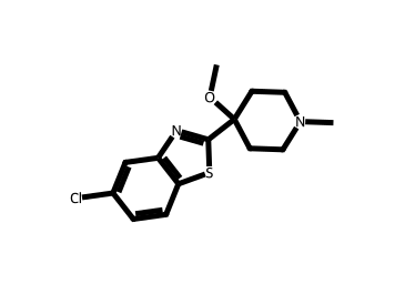 COC1(c2nc3cc(Cl)ccc3s2)CCN(C)CC1